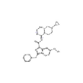 C=C(/C=C(\N=C/N)N1CCN(C2CC2)CC1)c1nn(Cc2ccccc2)c2ccc(OC(C)C)cc12